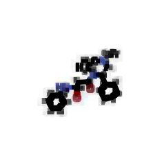 CCCN(C)C[C@H](c1ccccc1)N(C)C(=O)CC(=O)Nc1ccccc1